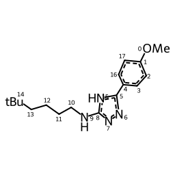 COc1ccc(-c2nnc(NCCCCC(C)(C)C)[nH]2)cc1